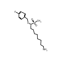 CS(=O)(=O)N(CCCCCCCCN)OCc1ccc(F)cc1